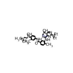 C=N/C=N\C(Nc1cc(C(=O)Nc2ccc(N(C)CCN(C)C)c(C(F)(F)F)c2)ccc1C)=C1/CC=NC(N(CC)CC)=N1